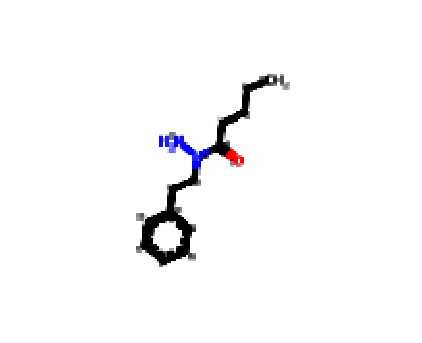 CCCCC(=O)N(N)CCc1ccccc1